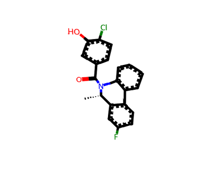 C[C@H]1c2cc(F)ccc2-c2ccccc2N1C(=O)c1ccc(Cl)c(O)c1